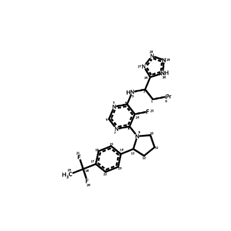 CC(C)CC(Nc1ncnc(N2CCCC2c2ccc(C(C)(F)F)cc2)c1F)c1nnn[nH]1